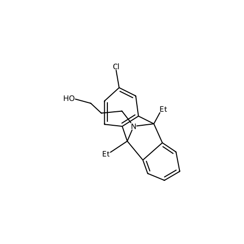 CCC12c3ccccc3C(CC)(c3cc(Cl)ccc31)N2CCCO